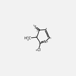 CC1C(=S)C=CN=C1Cl